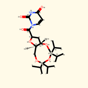 CC(C)[Si]1(C(C)C)OC[C@H]2OC(C(=O)n3ccc(=O)[nH]c3=O)C[C@@H]2O[Si](C(C)C)(C(C)C)O1